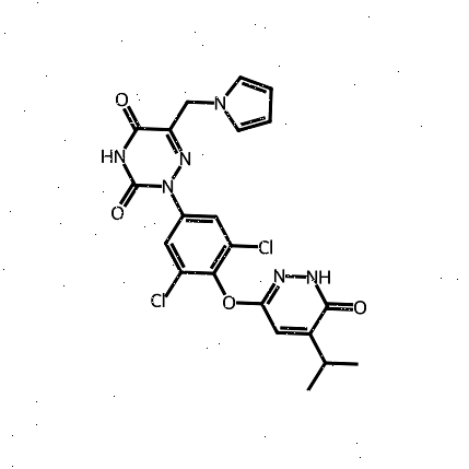 CC(C)c1cc(Oc2c(Cl)cc(-n3nc(Cn4cccc4)c(=O)[nH]c3=O)cc2Cl)n[nH]c1=O